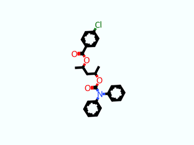 CC(CC(C)OC(=O)N(c1ccccc1)c1ccccc1)OC(=O)c1ccc(Cl)cc1